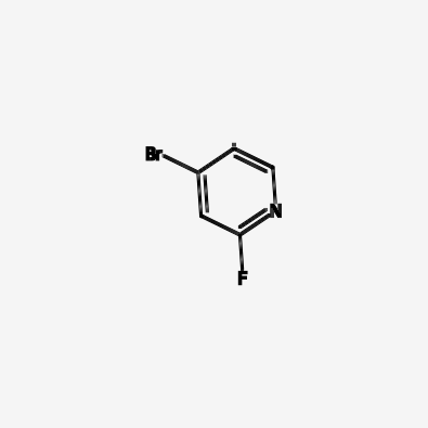 Fc1cc(Br)[c]cn1